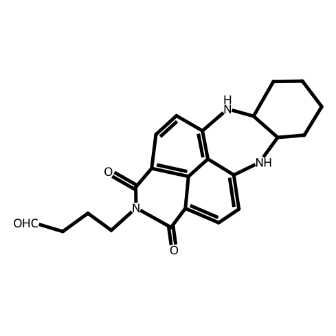 O=CCCCN1C(=O)c2ccc3c4c(ccc(c24)C1=O)NC1CCCCC1N3